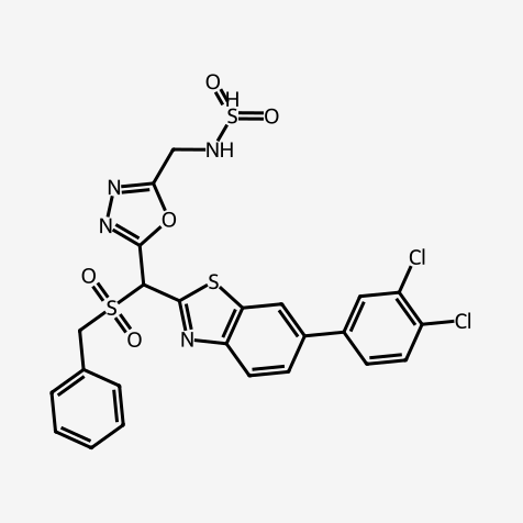 O=[SH](=O)NCc1nnc(C(c2nc3ccc(-c4ccc(Cl)c(Cl)c4)cc3s2)S(=O)(=O)Cc2ccccc2)o1